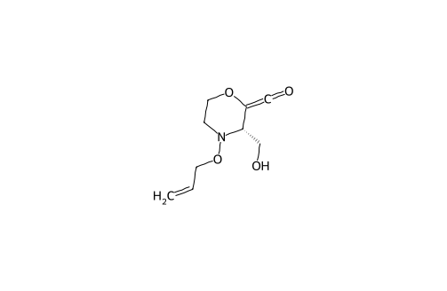 C=CCON1CCOC(=C=O)[C@@H]1CO